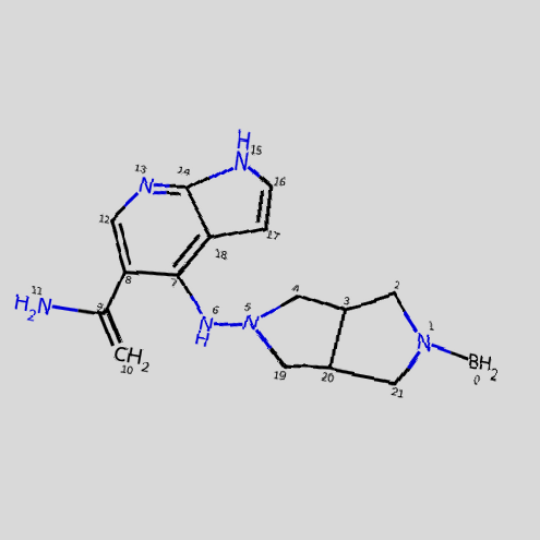 BN1CC2CN(Nc3c(C(=C)N)cnc4[nH]ccc34)CC2C1